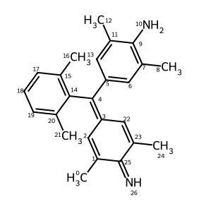 CC1=CC(=C(c2cc(C)c(N)c(C)c2)c2c(C)cccc2C)C=C(C)C1=N